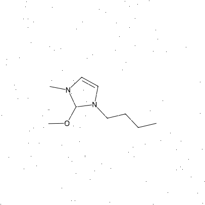 CCCCN1C=CN(C)C1OC